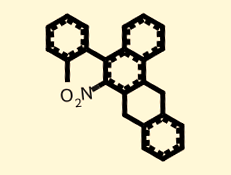 Cc1ccccc1-c1c([N+](=O)[O-])c2c(c3ccccc13)Cc1ccccc1C2